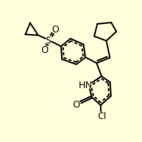 O=c1[nH]c(/C(=C/C2CCCC2)c2ccc(S(=O)(=O)C3CC3)cc2)ccc1Cl